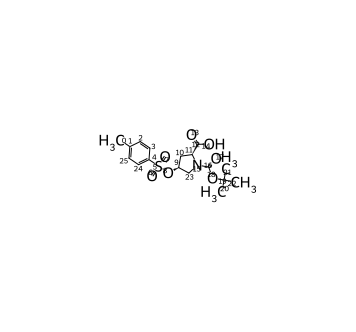 Cc1ccc(S(=O)(=O)O[C@H]2C[C@@H](C(=O)O)N(C(=O)OC(C)(C)C)C2)cc1